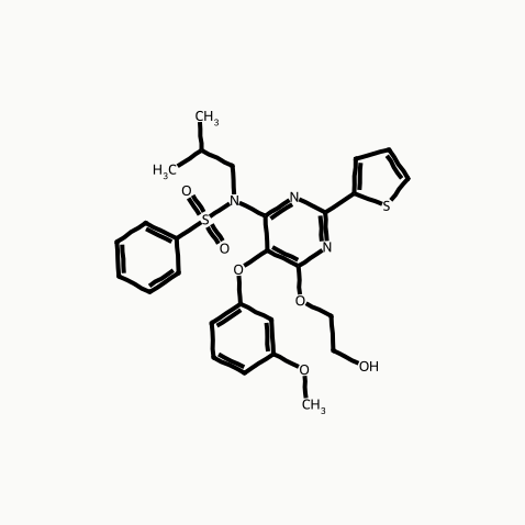 COc1cccc(Oc2c(OCCO)nc(-c3cccs3)nc2N(CC(C)C)S(=O)(=O)c2ccccc2)c1